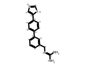 NC(N)=NCc1cccc(-c2ccc(-c3cncs3)cc2)c1